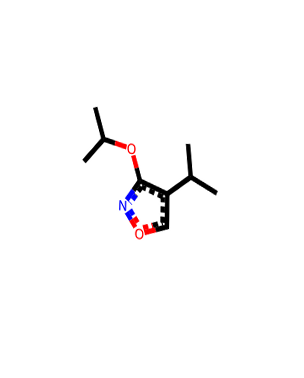 CC(C)Oc1nocc1C(C)C